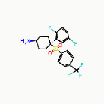 N[C@H]1CC[C@@](c2cc(F)ccc2F)(S(=O)(=O)c2ccc(C(F)(F)F)cc2)CC1